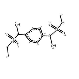 CCS(=O)(=O)C(O)c1ccc(C(O)S(=O)(=O)CC)cc1